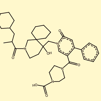 CC(CC1CCCCC1)C(=O)N1CCC(O)(Cn2cc(C(=O)N3CCN(C(=O)O)CC3)c(-c3ccccc3)cc2=O)C2(CCCCC2)C1